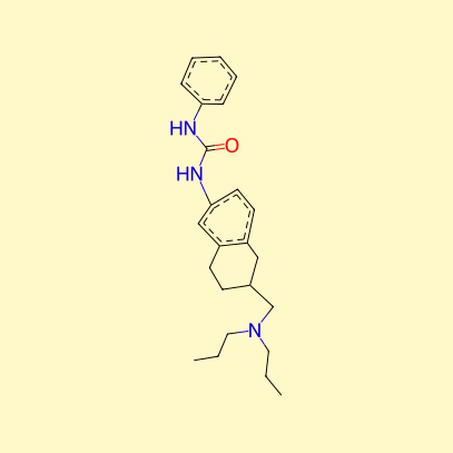 CCCN(CCC)CC1CCc2cc(NC(=O)Nc3ccccc3)ccc2C1